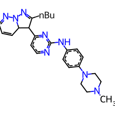 CCCCC1=NN2N=CC=CC2C1c1ccnc(Nc2ccc(N3CCN(C)CC3)cc2)n1